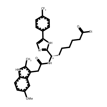 CCC(=O)CCCCC[C@H](NC(=O)Cc1c(C)[nH]c2ccc(OC)cc12)C1=[N+]C=C(c2ccc(C(F)(F)F)cc2)N1